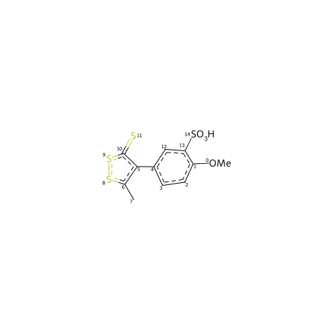 COc1ccc(-c2c(C)ssc2=S)cc1S(=O)(=O)O